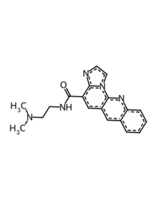 CN(C)CCNC(=O)c1cc2cc3ccccc3nc2n2ccnc12